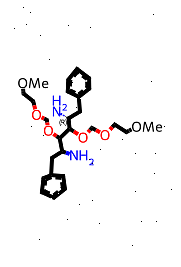 COCCOCOC(C(N)Cc1ccccc1)C(OCOCCOC)[C@H](N)Cc1ccccc1